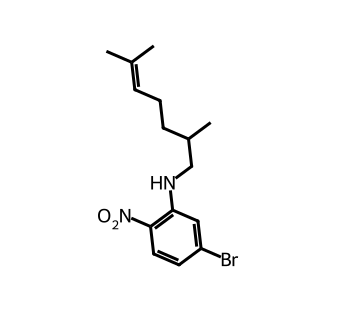 CC(C)=CCCC(C)CNc1cc(Br)ccc1[N+](=O)[O-]